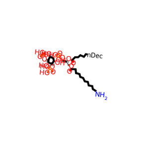 CCCCCCCCCCCCCCCC(=O)O[C@H](COC(=O)CCCCCCCCCCCN)COP(=O)(O)OC1C(O)[C@H](OP(=O)(O)O)C(O)[C@H](OP(=O)(O)O)[C@@H]1O